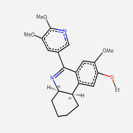 CCOc1cc2c(cc1OC)C(c1cnc(OC)c(OC)c1)=N[C@@H]1CCCC[C@H]21